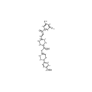 COc1ccc(C2CCN(CC(O)C3CCN(C=CC(=O)c4cc(F)cc(F)c4)CC3)CC2)cc1